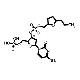 CCCC1CCC(COP(=O)(O)O[C@H]2CC(n3ccc(N)nc3=O)OC2COP(=O)(O)O)O1